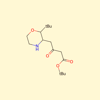 CC(C)(C)OC(=O)CC(=O)CC1NCCOC1C(C)(C)C